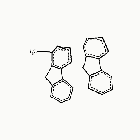 Cc1cccc2c1Cc1ccccc1-2.c1ccc2c(c1)Cc1ccccc1-2